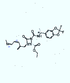 C=C(/C=C\C=N/C)C[C@H]1C(=O)N(C(=O)N[C@H](C)c2ccc3c(c2)OC(F)(F)O3)[C@@H]1C(=O)OCC